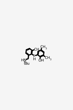 Cc1cc(C)c(O)c(Pc2c(C)cccc2CNC(C)(C)C)c1